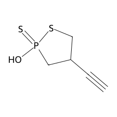 C#CC1CSP(O)(=S)C1